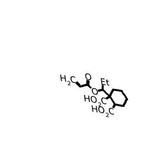 C=CC(=O)OC(CC)C1(C(=O)O)CCCCC1C(=O)O